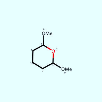 COC1C[C]CC(OC)O1